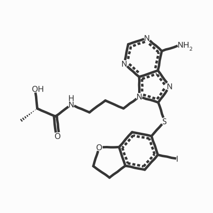 C[C@H](O)C(=O)NCCCn1c(Sc2cc3c(cc2I)CCO3)nc2c(N)ncnc21